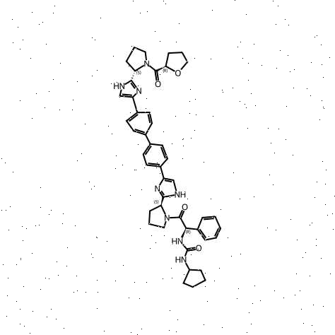 O=C(NC1CCCC1)N[C@@H](C(=O)N1CCC[C@H]1c1nc(-c2ccc(-c3ccc(-c4c[nH]c([C@@H]5CCCN5C(=O)[C@H]5CCCO5)n4)cc3)cc2)c[nH]1)c1ccccc1